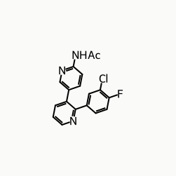 CC(=O)Nc1ccc(-c2cccnc2-c2ccc(F)c(Cl)c2)cn1